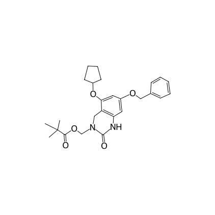 CC(C)(C)C(=O)OCN1Cc2c(cc(OCc3ccccc3)cc2OC2CCCC2)NC1=O